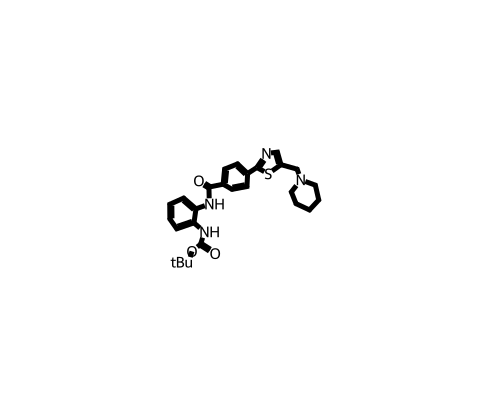 CC(C)(C)OC(=O)Nc1ccccc1NC(=O)c1ccc(-c2ncc(CN3CCCCC3)s2)cc1